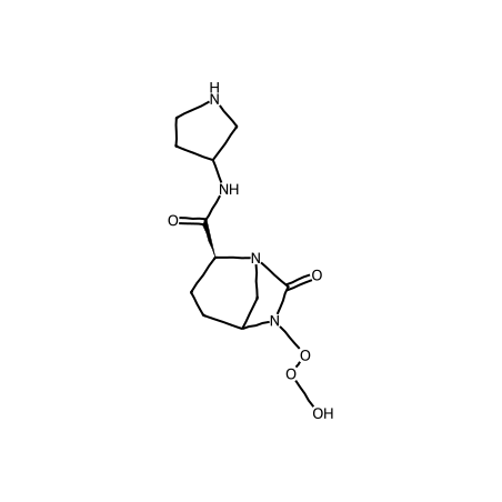 O=C(NC1CCNC1)[C@@H]1CCC2CN1C(=O)N2OOO